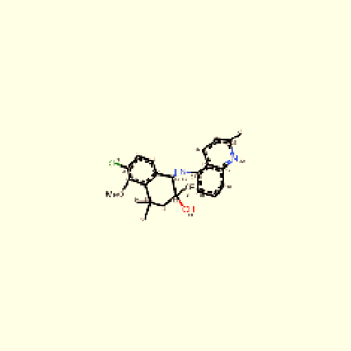 COc1c(Cl)ccc2c1C(C)(C)CC(O)(C(F)(F)F)C2Nc1cccc2nc(C)ccc12